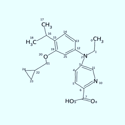 CCN(c1ccc(C(=O)O)nc1)c1ccc(C(C)C)c(OCC2CC2)c1